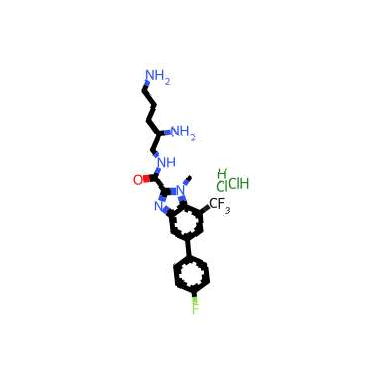 Cl.Cl.Cn1c(C(=O)NCC(N)CCCN)nc2cc(-c3ccc(F)cc3)cc(C(F)(F)F)c21